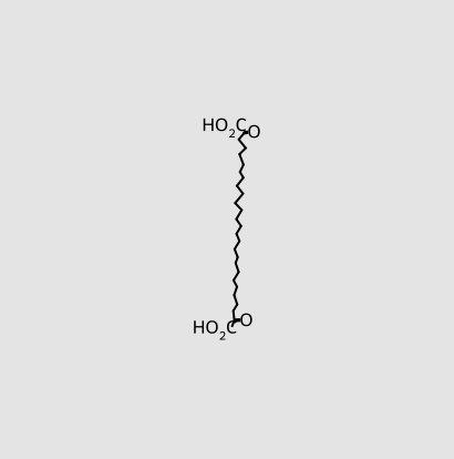 O=C(O)C(=O)CCCCCCCCCCCCCCCCCCCCCCCC(=O)C(=O)O